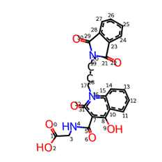 O=C(O)CNC(=O)c1c(O)c2ccccc2n(CCCN2C(=O)c3ccccc3C2=O)c1=O